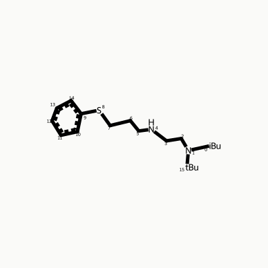 CCC(C)N(CCNCCCSc1ccccc1)C(C)(C)C